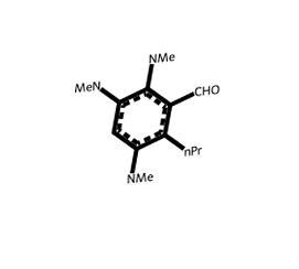 CCCc1c(NC)cc(NC)c(NC)c1C=O